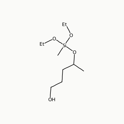 CCO[Si](C)(OCC)OC(C)CCCO